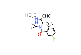 O=CC(CN(C(=O)c1cc(F)ccc1[N+](=O)[O-])C1CC1)NC(=O)O